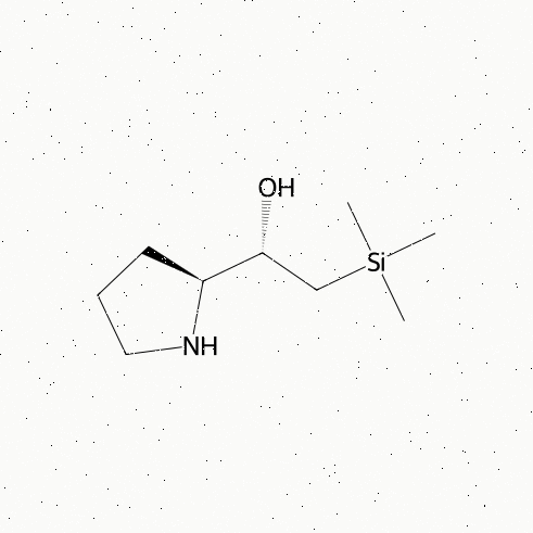 C[Si](C)(C)C[C@@H](O)[C@@H]1CCCN1